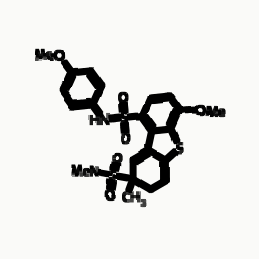 CNS(=O)(=O)C1(C)C=c2c(sc3c(OC)ccc(S(=O)(=O)Nc4ccc(OC)cc4)c23)=CC1